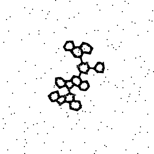 c1ccc(-c2nc(-c3cc4ccccc4c4ccccc34)nc(-c3cc4c5ccccc5n(-c5nc6ccccc6c6nc7ccccc7n56)c4c4ccccc34)n2)cc1